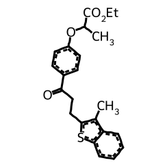 CCOC(=O)C(C)Oc1ccc(C(=O)CCc2sc3ccccc3c2C)cc1